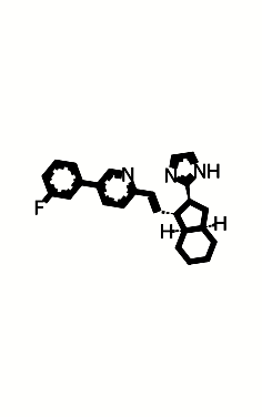 Fc1cccc(-c2ccc(/C=C/[C@H]3[C@@H]4CCCC[C@@H]4C[C@@H]3c3ncc[nH]3)nc2)c1